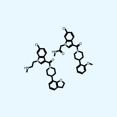 CNC(=O)Cn1cc(C(=O)N2CCC(c3ccccc3OC)CC2)c2ccc(Cl)cc21.CNCCn1cc(C(=O)N2CCC(c3cccc4c3OCC4)CC2)c2ccc(Cl)cc21